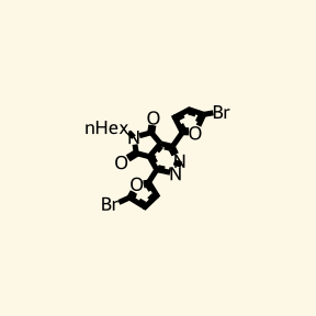 CCCCCCN1C(=O)c2c(-c3ccc(Br)o3)nnc(-c3ccc(Br)o3)c2C1=O